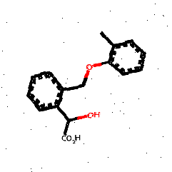 Cc1ccccc1OCc1ccccc1C(O)C(=O)O